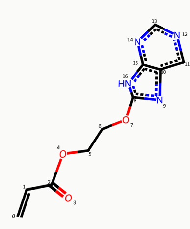 C=CC(=O)OCCOc1nc2cncnc2[nH]1